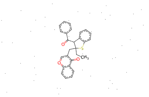 CCC1(Cc2coc3ccccc3c2=O)Sc2ccccc2C1C(=O)c1ccccc1